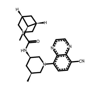 C[C@H]1C[C@@H](NC(=O)C[C@@H]2[C@@H]3C[C@H]2CN(C)C3)CN(c2ccc(C#N)c3nccnc23)C1